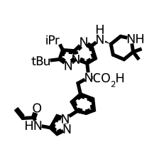 C=CC(=O)Nc1cnn(-c2cccc(CN(C(=O)O)c3cc(N[C@H]4CCC(C)(C)NC4)nc4c(C(C)C)c(C(C)(C)C)nn34)c2)c1